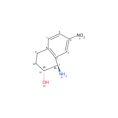 N[C@@H]1c2cc([N+](=O)[O-])ccc2CC[C@H]1O